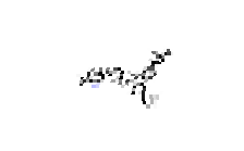 C=C(/C=C\C(OC)=C(C)C)[C@H]1CC[C@H](CN(c2cccc(-c3cnn(C4CC4)c3)c2)C(=O)[C@H]2CC[C@H](O)CC2)CC1